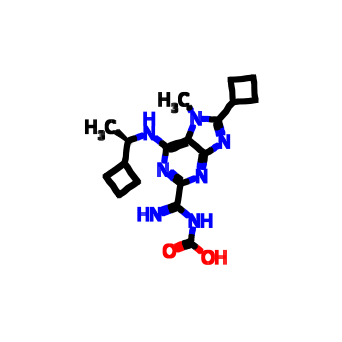 C[C@@H](Nc1nc(C(=N)NC(=O)O)nc2nc(C3CCC3)n(C)c12)C1CCC1